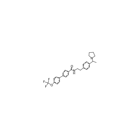 CC(c1ccc(CCNC(=O)c2ccc(-c3ccc(OC(F)(F)F)cc3)cc2)cc1)N1CCCC1